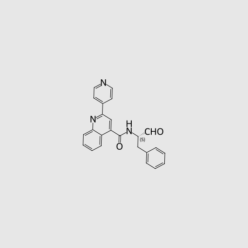 O=C[C@H](Cc1ccccc1)NC(=O)c1cc(-c2ccncc2)nc2ccccc12